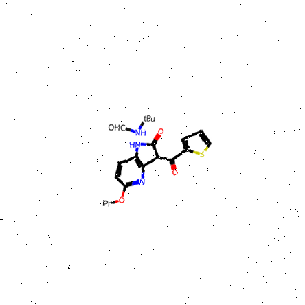 CC(C)(C)NC=O.CC(C)Oc1ccc2c(n1)C(C(=O)c1cccs1)C(=O)N2